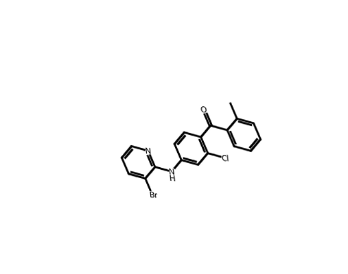 Cc1ccccc1C(=O)c1ccc(Nc2ncccc2Br)cc1Cl